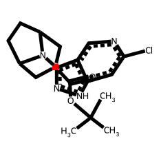 CC(C)(C)OC(=O)N1CC2CCC(C1)N2c1n[nH]c2cc(Cl)ncc12